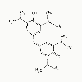 CC(C)C1=CC(=Cc2cc(C(C)C)c(O)c(C(C)C)c2)C=C(C(C)C)C1=O